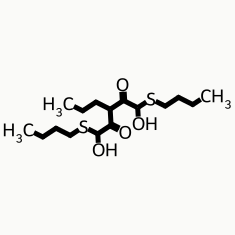 CCCCSC(O)C(=O)C(CCC)C(=O)C(O)SCCCC